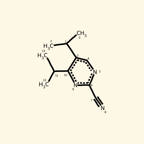 CC(C)c1cnc(C#N)nc1C(C)C